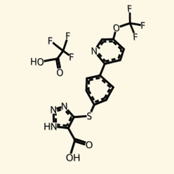 O=C(O)C(F)(F)F.O=C(O)c1[nH]nnc1Sc1ccc(-c2ccc(OC(F)(F)F)cn2)cc1